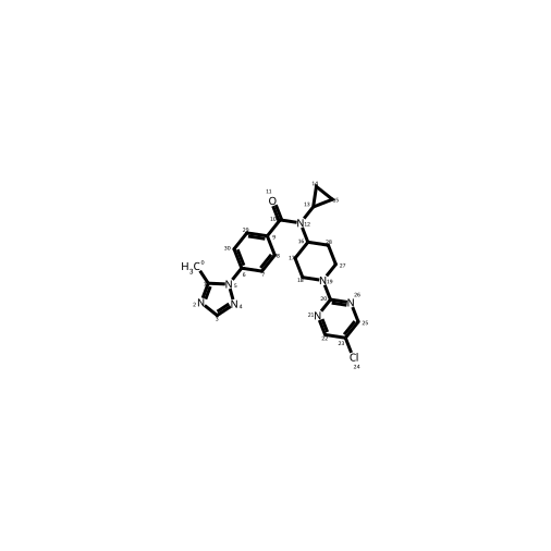 Cc1ncnn1-c1ccc(C(=O)N(C2CC2)C2CCN(c3ncc(Cl)cn3)CC2)cc1